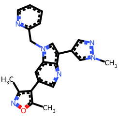 Cc1noc(C)c1-c1cnc2c(-c3cnn(C)c3)cn(Cc3ccccn3)c2c1